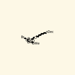 CCCCCCCCCCCCCCCCCCOCC(COP(=O)(O)OCCBr)OC(=O)OC